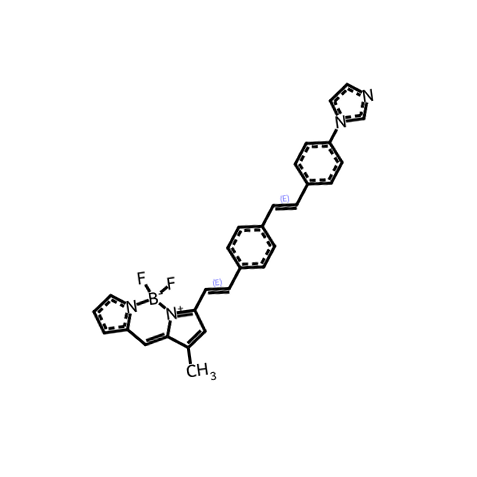 CC1=CC(/C=C/c2ccc(/C=C/c3ccc(-n4ccnc4)cc3)cc2)=[N+]2C1=Cc1cccn1[B-]2(F)F